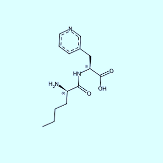 CCCC[C@@H](N)C(=O)N[C@@H](Cc1cccnc1)C(=O)O